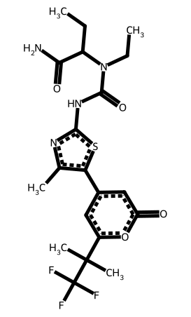 CCC(C(N)=O)N(CC)C(=O)Nc1nc(C)c(-c2cc(C(C)(C)C(F)(F)F)oc(=O)c2)s1